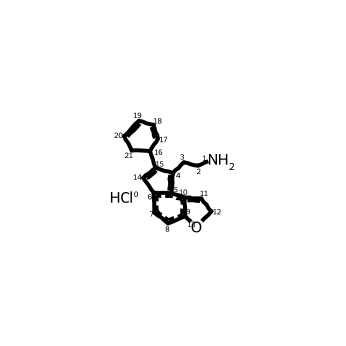 Cl.NCCC1=c2c(ccc3c2=CCO3)C=C1C1C=CC=CC1